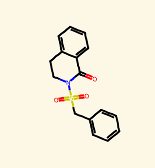 O=C1c2ccccc2CCN1S(=O)(=O)Cc1ccccc1